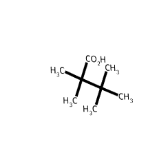 CC(C)(C)C(C)(C)C(=O)O